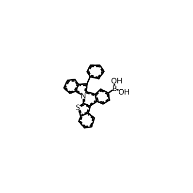 OB(O)c1ccc2c(c1)c1c(-c3ccccc3)c3ccccc3n1c1sc3ccccc3c21